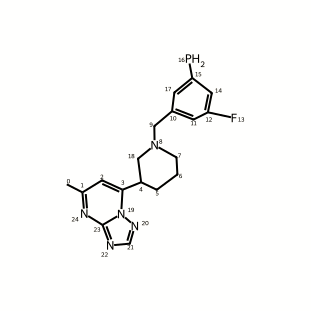 Cc1cc(C2CCCN(Cc3cc(F)cc(P)c3)C2)n2ncnc2n1